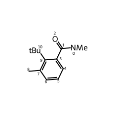 CNC(=O)c1cccc(C)c1C(C)(C)C